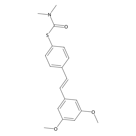 COc1cc(C=Cc2ccc(SC(=O)N(C)C)cc2)cc(OC)c1